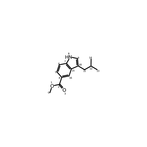 COC(=O)c1ccc2[nH]cc(CC(C)C)c2c1